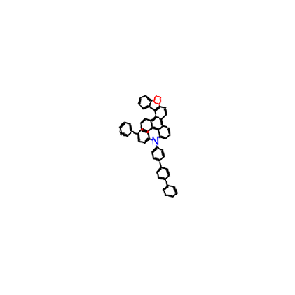 c1ccc(-c2ccc(-c3ccc(N(c4ccc(-c5ccccc5)cc4)c4cccc5c6ccc7oc8ccccc8c7c6c6ccccc6c45)cc3)cc2)cc1